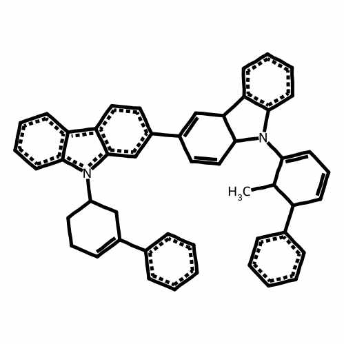 CC1C(N2c3ccccc3C3C=C(c4ccc5c6ccccc6n(C6CCC=C(c7ccccc7)C6)c5c4)C=CC32)=CC=CC1c1ccccc1